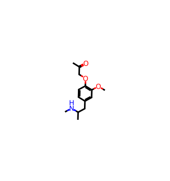 CNC(C)Cc1ccc(OCC(C)=O)c(OC)c1